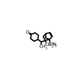 CC(C1CCC(=O)CC1)C1(C(=O)O)CC2C=CC1(C)C2